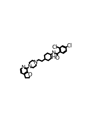 O=C(NC1CCC(CCN2CCN(c3nccc4c3OCC4)CC2)CC1)c1ccc(Cl)cc1Cl